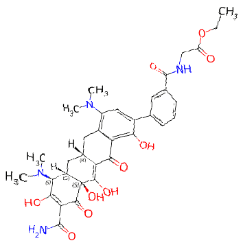 CCOC(=O)CNC(=O)c1cccc(-c2cc(N(C)C)c3c(c2O)C(=O)C2=C(O)[C@]4(O)C(=O)C(C(N)=O)=C(O)[C@@H](N(C)C)[C@@H]4C[C@@H]2C3)c1